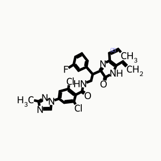 C=Cc1[nH]c(=O)c(C(CNC(=O)c2c(Cl)cc(-n3cnc(C)n3)cc2Cl)c2cccc(F)c2)nc1/C=C\C